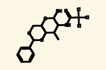 CC1C(NC(=O)C(Cl)(Cl)Cl)C(O)OC2COC(c3ccccc3)OC21